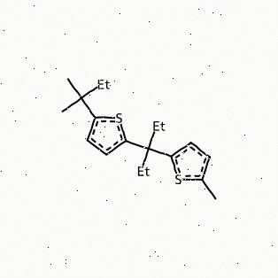 CCC(C)(C)c1ccc(C(CC)(CC)c2ccc(C)s2)s1